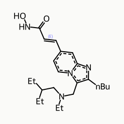 CCCCc1nc2cc(/C=C/C(=O)NO)ccn2c1CN(CC)CC(CC)CC